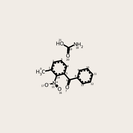 Cc1cccc(C(=O)c2ccccc2)c1[N+](=O)[O-].NC(=O)O